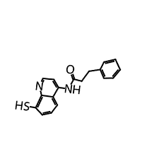 O=C(CCc1ccccc1)Nc1ccnc2c(S)cccc12